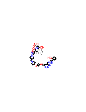 CC(C)C(C(=O)N1C[C@H](O)C[C@H]1C(=O)O)c1cc(N2CCC(CN3CCC(OC4CC(OCC#Cc5cn6cc(-c7ccccc7O)nc6nc5N)C4)CC3)CC2)no1